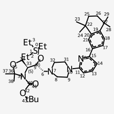 CC[Si](CC)(CC)O[C@H](CN1CCN(c2cccc(-c3ccc4c(c3)C(C)(C)CCC4(C)C)n2)CC1)[C@@H]1COC(C)(C)N1C(=O)OC(C)(C)C